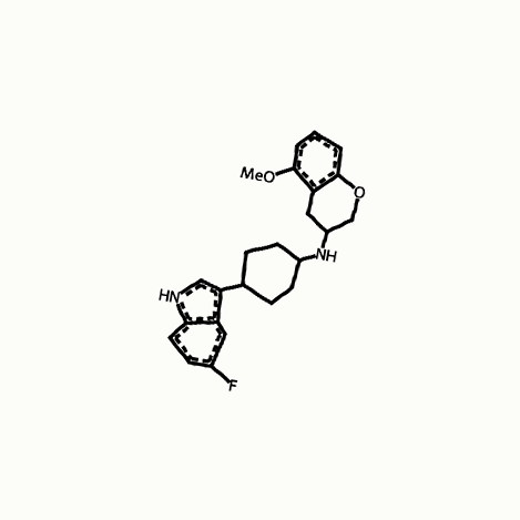 COc1cccc2c1CC(NC1CCC(c3c[nH]c4ccc(F)cc34)CC1)CO2